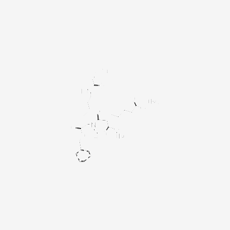 CC(C)(C)OC(=O)CCCC[C@H](C(=O)OC(C)(C)C)C(=O)N(N)[C@@H](CCCCNC(=O)OC(C)(C)C)C(=O)OCc1ccccc1